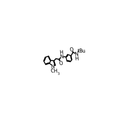 Cn1cc(CC(=O)Nc2cccc(C(=O)NC(C)(C)C)c2)c2ccccc21